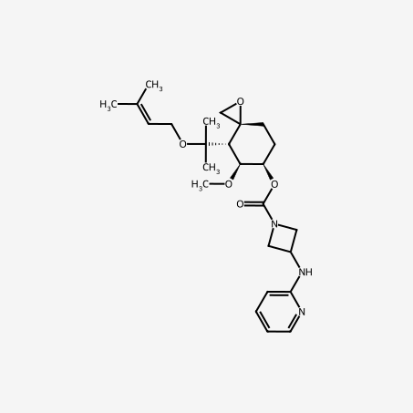 CO[C@H]1[C@H](C(C)(C)OCC=C(C)C)[C@]2(CC[C@H]1OC(=O)N1CC(Nc3ccccn3)C1)CO2